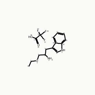 CCOCC(N)Cc1c[nH]c2ccccc12.O=C(O)C(F)(F)F